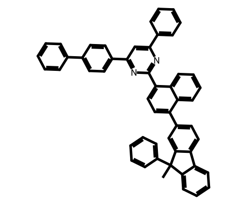 CC1(c2ccccc2)c2ccccc2-c2ccc(-c3ccc(-c4nc(-c5ccccc5)cc(-c5ccc(-c6ccccc6)cc5)n4)c4ccccc34)cc21